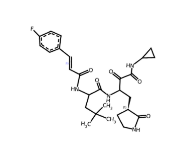 CC(C)(C)CC(NC(=O)/C=C/c1ccc(F)cc1)C(=O)NC(C[C@@H]1CCNC1=O)C(=O)C(=O)NC1CC1